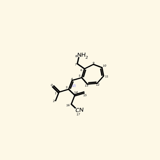 C=C(C)/C(=C/C1=C(CN)CC=CC=C1)C(=C)CC#N